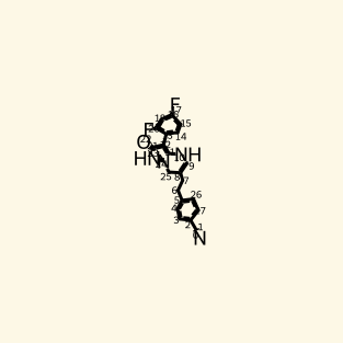 N#Cc1ccc(CCC2=CNc3c(-c4ccc(F)cc4F)c(=O)[nH]n3C2)cc1